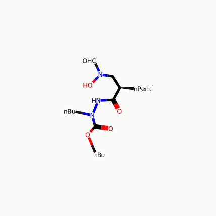 CCCCC[C@H](CN(O)C=O)C(=O)NN(CCCC)C(=O)OC(C)(C)C